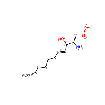 CCCCCCCCCCCCC/C=C/C(O)C(N)COO